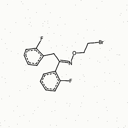 Fc1ccccc1C/C(=N\OCCBr)c1ccccc1F